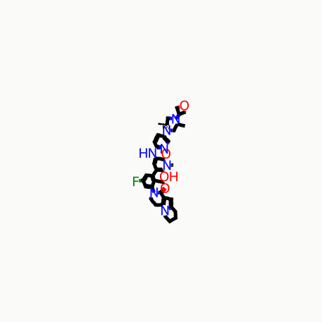 CC1CN(c2ccc(Nc3cc(-c4cc(F)cc(N5CCc6c(cc7n6CCCC7)C5=O)c4CO)cn(C)c3=O)nc2)[C@@H](C)CN1C1COC1